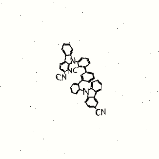 N#Cc1ccc2c(c1)c1ccccc1n2-c1ccccc1-c1cccc(-c2cccc(-n3c4ccccc4c4ccc(C#N)cc43)c2C#N)c1